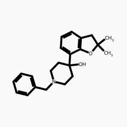 CC1(C)Cc2cccc(C3(O)CCN(Cc4ccccc4)CC3)c2O1